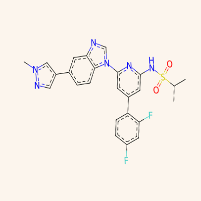 CC(C)S(=O)(=O)Nc1cc(-c2ccc(F)cc2F)cc(-n2cnc3cc(-c4cnn(C)c4)ccc32)n1